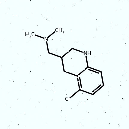 CN(C)CC1CNc2cccc(Cl)c2C1